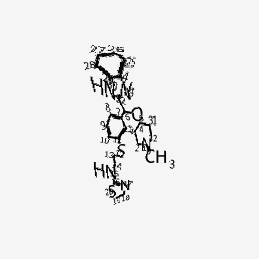 CN1CCC(OC(c2cccc(SCCNC3=NCCS3)c2)c2nc3ccccc3[nH]2)CC1